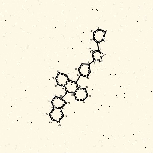 c1ccc(-c2nnc(-c3ccc(-c4c5ccccc5c(-c5ccc6ccncc6c5)c5ccccc45)cc3)o2)cc1